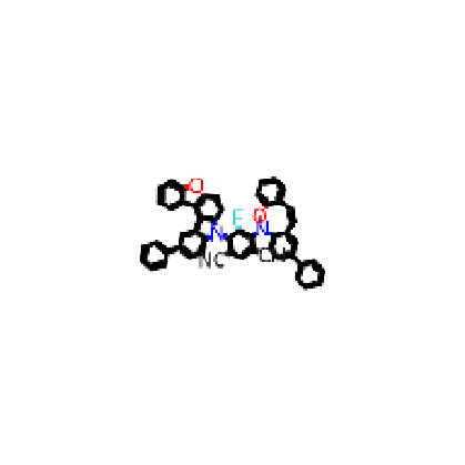 N#Cc1cc(C#N)c(-n2c3ccc(-c4ccccc4)cc3c3c4c(ccc32)oc2ccccc24)c(F)c1-n1oc2ccccc2ccc2cc(-c3ccccc3)ccc21